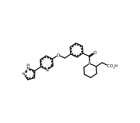 O=C(O)CC1CCCCN1C(=O)c1cccc(COc2ccc(-c3ccn[nH]3)nc2)c1